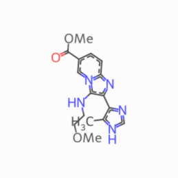 COCCNc1c(-c2nc[nH]c2C)nc2ccc(C(=O)OC)cn12